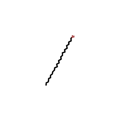 CCCCCCCCCCCCCCCCCCCCCCCCCCBr